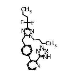 CCCCn1nc(C(F)(F)CCC)nc1Cc1ccc(-c2cccnc2-c2nnn[nH]2)cc1